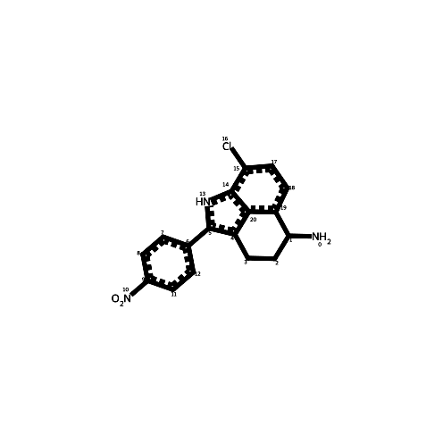 NC1CCc2c(-c3ccc([N+](=O)[O-])cc3)[nH]c3c(Cl)ccc1c23